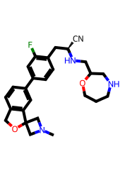 CN1CC2(C1)OCc1ccc(-c3ccc(C[C@@H](C#N)NCC4CNCCCO4)c(F)c3)cc12